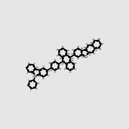 c1ccc(-n2c3ccccc3c3cc(-c4ccc(-c5c6ccccc6c(-c6ccc7c(c6)oc6cc8ccccc8cc67)c6ccccc56)cc4)ccc32)cc1